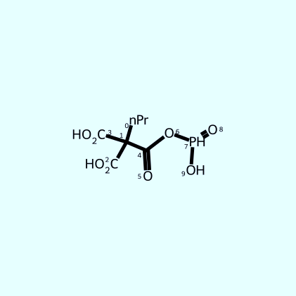 CCCC(C(=O)O)(C(=O)O)C(=O)O[PH](=O)O